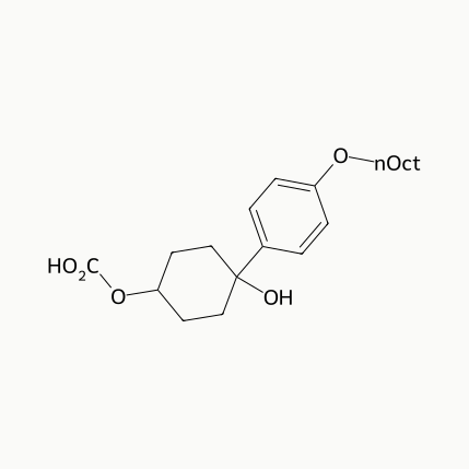 CCCCCCCCOc1ccc(C2(O)CCC(OC(=O)O)CC2)cc1